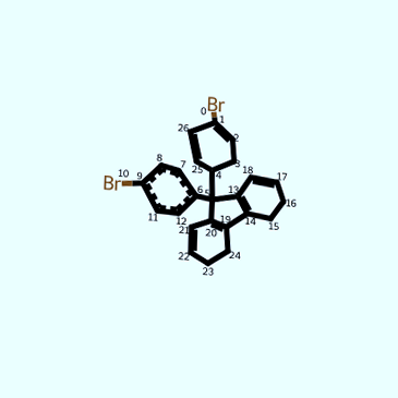 BrC1=CCC(C2(c3ccc(Br)cc3)C3=C(CCC=C3)C3=C2C=CCC3)C=C1